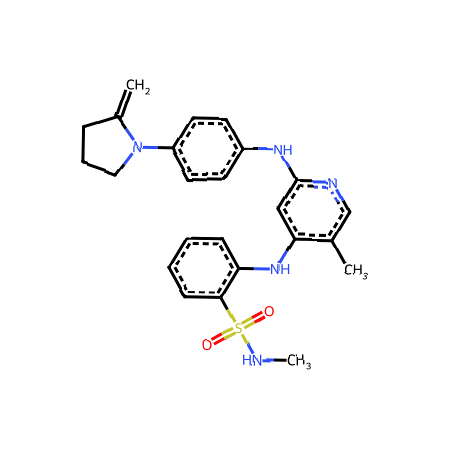 C=C1CCCN1c1ccc(Nc2cc(Nc3ccccc3S(=O)(=O)NC)c(C)cn2)cc1